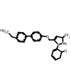 O=C(O)Cc1ccc(-c2ccc(OCC3=CC(C(F)(F)F)NN3C3=CC=CCC3Cl)cc2)cc1